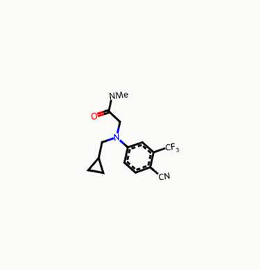 CNC(=O)CN(CC1CC1)c1ccc(C#N)c(C(F)(F)F)c1